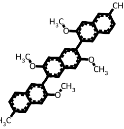 COc1cc2cc(C)ccc2cc1-c1cc2cc(OC)c(-c3cc4ccc(C)cc4cc3OC)cc2cc1OC